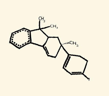 CC1(C)c2ccccc2C2=CC[C@](C)(C3=CC=C(I)CC3)CC21